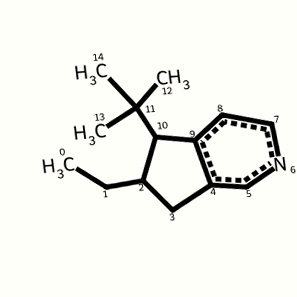 CCC1Cc2cnccc2C1C(C)(C)C